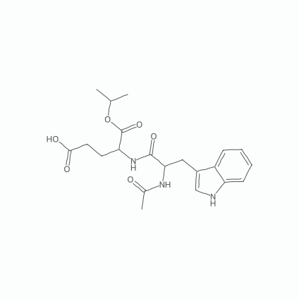 CC(=O)NC(Cc1c[nH]c2ccccc12)C(=O)NC(CCC(=O)O)C(=O)OC(C)C